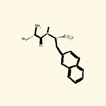 CC(C)[C@H](N)C(=O)N(C)[C@@H](Cc1ccc2ccccc2c1)C(=O)O